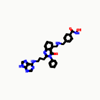 O=C(NO)c1ccc(CNCc2cccc3nc(CCCNc4ncnc5[nH]cnc45)n(-c4ccccc4)c(=O)c23)cc1